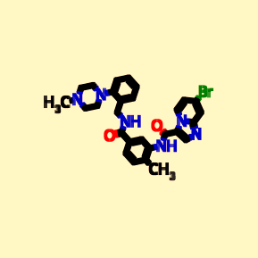 Cc1ccc(C(=O)NCc2ccccc2N2CCN(C)CC2)cc1NC(=O)c1cnc2cc(Br)ccn12